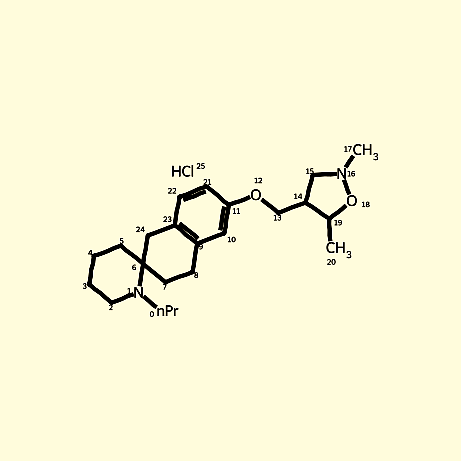 CCCN1CCCCC12CCc1cc(OCC3CN(C)OC3C)ccc1C2.Cl